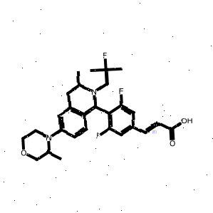 CC1COCCN1c1ccc2c(c1)CC(C)N(CC(C)(C)F)C2c1c(F)cc(/C=C/C(=O)O)cc1F